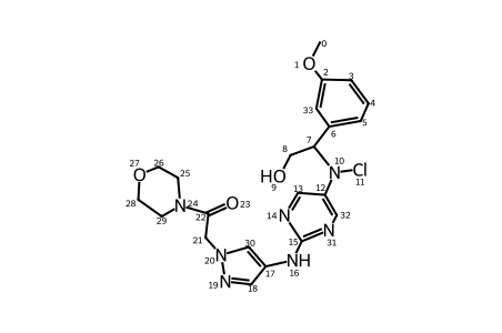 COc1cccc(C(CO)N(Cl)c2cnc(Nc3cnn(CC(=O)N4CCOCC4)c3)nc2)c1